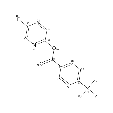 CC(C)(C)c1ccc(C(=O)Oc2c[c]c(F)cn2)cc1